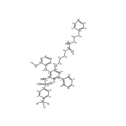 COc1ccccc1Oc1c(NS(=O)(=O)c2ccc(C(C)(C)C)cc2)nc(-c2ncccn2)nc1OCCCCC(=O)NCCCc1ccccc1